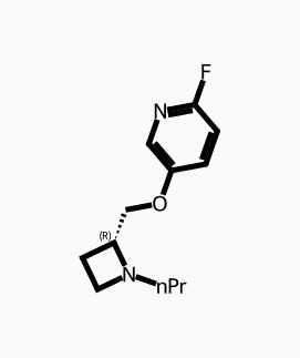 CCCN1CC[C@@H]1COc1ccc(F)nc1